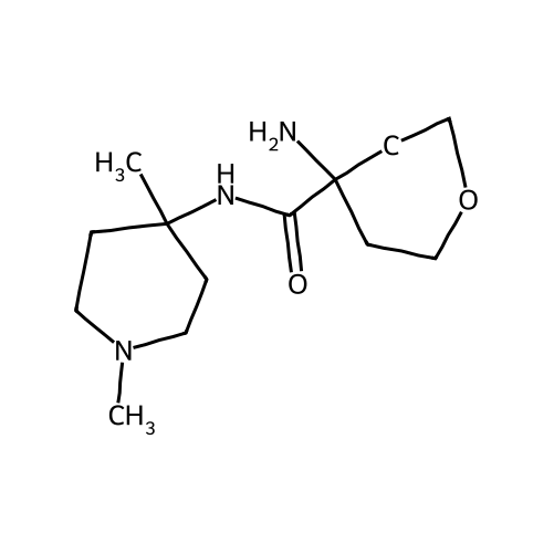 CN1CCC(C)(NC(=O)C2(N)CCOCC2)CC1